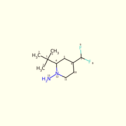 CC(C)(C)C1CC(C(F)F)CCN1N